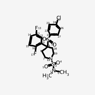 CN(C)S(=O)(=O)N1CCC(c2cc(F)ccc2F)(S(=O)(=O)c2ccc(Cl)cc2)CC1